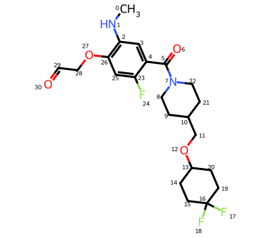 CNc1cc(C(=O)N2CCC(COC3CCC(F)(F)CC3)CC2)c(F)cc1OCC=O